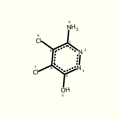 Nc1nnc(O)c(Cl)c1Cl